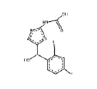 O=C(O)Nc1ncc(C(O)c2ccc(F)cc2F)s1